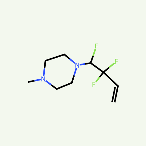 C=CC(F)(F)C(F)N1CCN(C)CC1